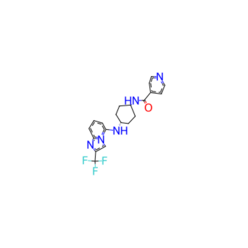 O=C(N[C@H]1CC[C@@H](Nc2cccc3nc(C(F)(F)F)cn23)CC1)c1ccncc1